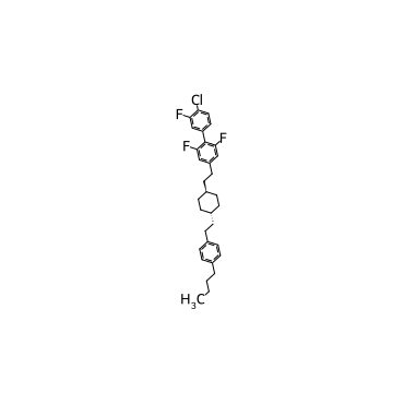 CCCCc1ccc(CC[C@H]2CC[C@H](CCc3cc(F)c(-c4ccc(Cl)c(F)c4)c(F)c3)CC2)cc1